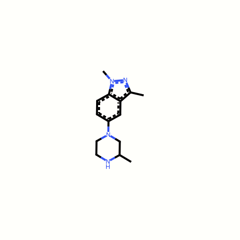 Cc1nn(C)c2ccc(N3CCNC(C)C3)cc12